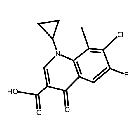 Cc1c(Cl)c(F)cc2c(=O)c(C(=O)O)cn(C3CC3)c12